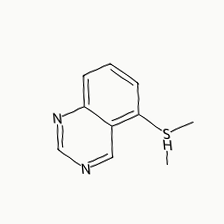 C[SH](C)c1cccc2ncncc12